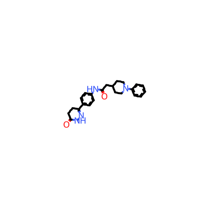 O=C1CCC(c2ccc(NC(=O)CC3CCN(c4ccccc4)CC3)cc2)=NN1